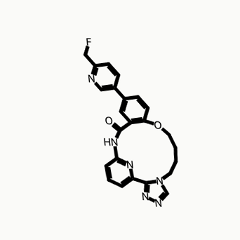 O=C1Nc2cccc(n2)-c2nncn2CCCCOc2ccc(-c3ccc(CF)nc3)cc21